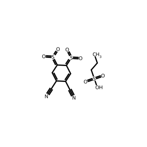 CCCS(=O)(=O)O.N#CC1=CC(=S(=O)=O)C(=S(=O)=O)C=C1C#N